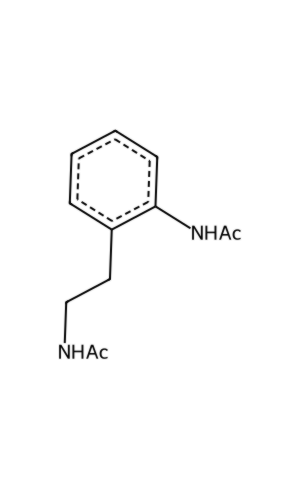 CC(=O)NCCc1ccccc1NC(C)=O